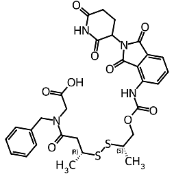 C[C@H](CC(=O)N(CC(=O)O)Cc1ccccc1)SS[C@@H](C)COC(=O)Nc1cccc2c1C(=O)N(C1CCC(=O)NC1=O)C2=O